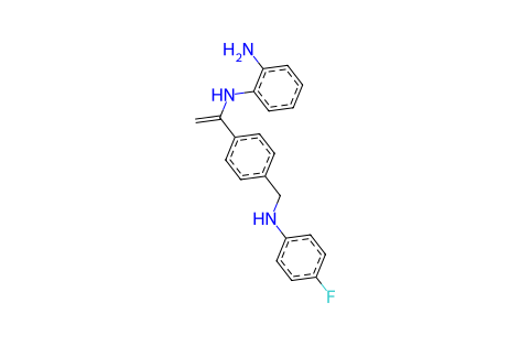 C=C(Nc1ccccc1N)c1ccc(CNc2ccc(F)cc2)cc1